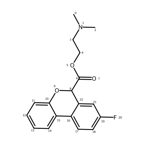 CN(C)CCOC(=O)C1Oc2ccccc2-c2ccc(F)cc21